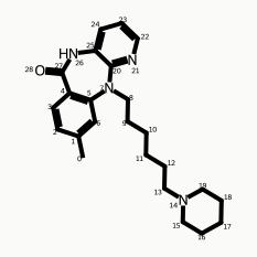 Cc1ccc2c(c1)N(CCCCCCN1CCCCC1)c1ncccc1NC2=O